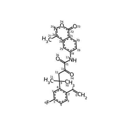 C=Cc1ccc(F)cc1C(C)(C)CC(=O)C(=O)Nc1ccc2c(=O)onc(C)c2c1